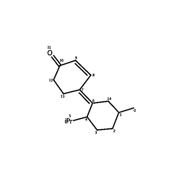 CC1CCC(C(C)C)C(=C2C=CC(=O)CC2)C1